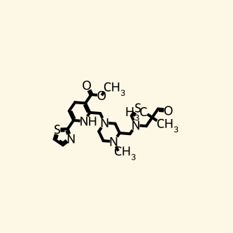 COC(=O)C1=C(CN2CCN(C)C(CN(C=S)CC(C)(C)C=O)C2)NC(c2nccs2)=CC1